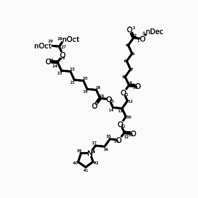 CCCCCCCCCCOC(=O)CCCCCC(=O)OCC(COC(=O)CCCCCCC(=O)OC(CCCCCCCC)CCCCCCCC)COC(=O)OCCCN1CCCC1